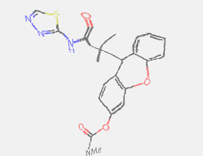 CNC(=O)Oc1ccc2c(c1)Oc1ccccc1C2C(C)(C)C(=O)Nc1nncs1